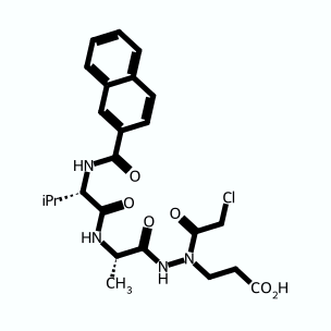 CC(C)[C@H](NC(=O)c1ccc2ccccc2c1)C(=O)N[C@@H](C)C(=O)NN(CCC(=O)O)C(=O)CCl